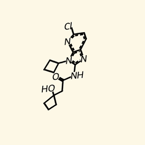 O=C(CC1(O)CCC1)Nc1nc2ccc(Cl)nc2n1C1CCC1